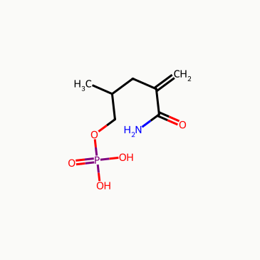 C=C(CC(C)COP(=O)(O)O)C(N)=O